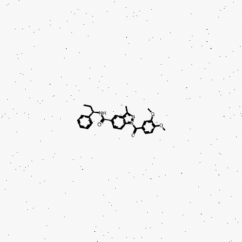 CCC(NC(=O)c1ccc2c(c1)c(C)nn2C(=O)c1ccc(OC)c(OC)c1)c1ccccc1